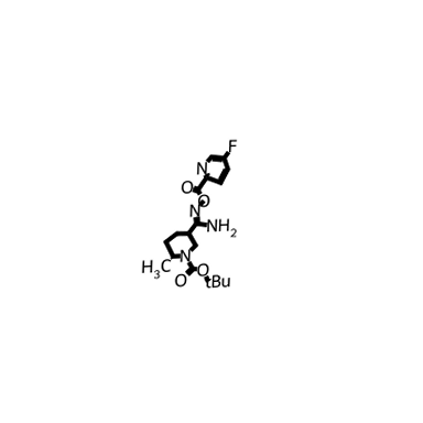 C[C@@H]1CCC(C(N)=NOC(=O)c2ccc(F)cn2)CN1C(=O)OC(C)(C)C